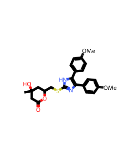 COc1ccc(-c2nc(SCC3CC(C)(O)CC(=O)O3)[nH]c2-c2ccc(OC)cc2)cc1